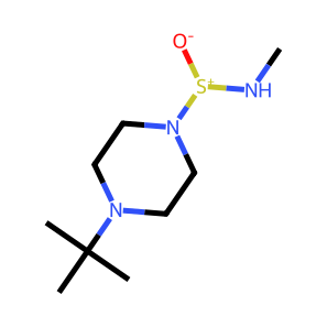 CN[S+]([O-])N1CCN(C(C)(C)C)CC1